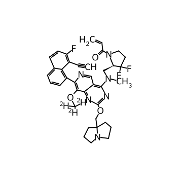 [2H]C([2H])([2H])Oc1c(-c2cccc3ccc(F)c(C#C)c23)ncc2c(N(C)C[C@H]3N(C(=O)C=C)CCC3(F)F)nc(OCC34CCCN3CCC4)nc12